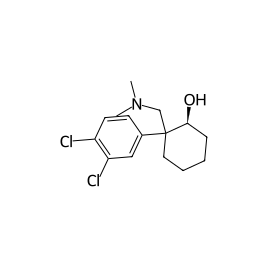 CN(C)CC1(c2ccc(Cl)c(Cl)c2)CCCC[C@@H]1O